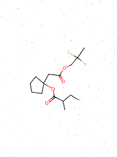 CCC(C)C(=O)OC1(CC(=O)OCC(C)(F)F)CCCC1